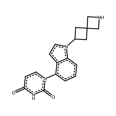 O=c1ccn(-c2cccc3c2ccn3C2CC3(CNC3)C2)c(=O)[nH]1